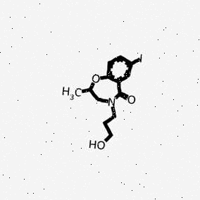 CC1CN(CCCO)C(=O)c2cc(I)ccc2O1